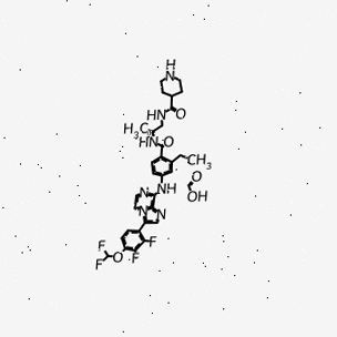 CCc1cc(Nc2nccn3c(-c4ccc(OC(F)F)c(F)c4F)cnc23)ccc1C(=O)N[C@H](C)CNC(=O)C1CCNCC1.O=CO